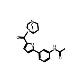 CC(=O)Nc1cccc(-c2ccc(C(=O)N3CCN4CCC3CC4)o2)c1